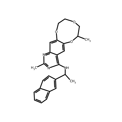 Cc1nc(NC(C)c2ccc3ccccc3c2)c2cc3c(cc2n1)OCCOCC(C)O3